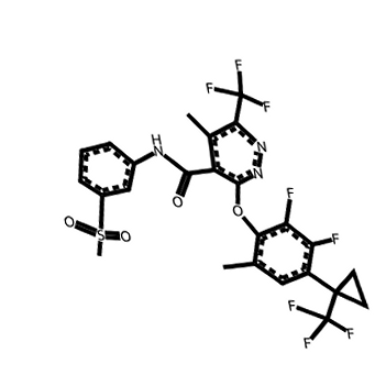 Cc1cc(C2(C(F)(F)F)CC2)c(F)c(F)c1Oc1nnc(C(F)(F)F)c(C)c1C(=O)Nc1cccc(S(C)(=O)=O)c1